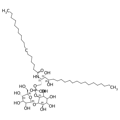 CCCCCCCCCCCCCCCCCC(=O)N[C@@H](COP(=O)(O)O[C@H]1C(O)C(O)C(O)[C@@H](O)C1O[C@H]1O[C@H](CO)[C@@H](O)C(O)C1O)[C@H](O)[C@H](O)CCCCCCCCCCCCCCCC